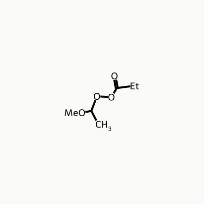 CCC(=O)OOC(C)OC